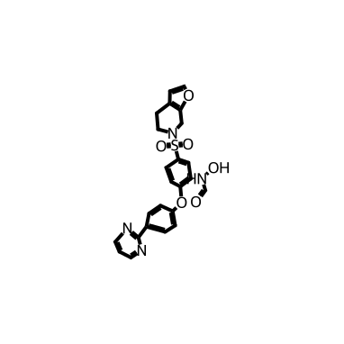 O=CNO.O=S(=O)(c1ccc(Oc2ccc(-c3ncccn3)cc2)cc1)N1CCc2ccoc2C1